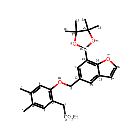 CCOC(=O)Cc1cc(C)c(C)cc1OCc1cc(B2OC(C)(C)C(C)(C)O2)c2occc2c1